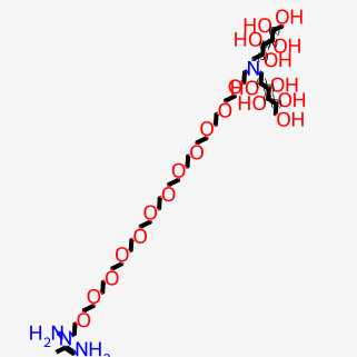 CC(=CN)N(N)CCOCCOCCOCCOCCOCCOCCOCCOCCOCCOCCOCCOCCN(C[C@H](O)[C@@H](O)[C@H](O)[C@H](O)CO)C[C@H](O)[C@@H](O)[C@H](O)[C@H](O)CO